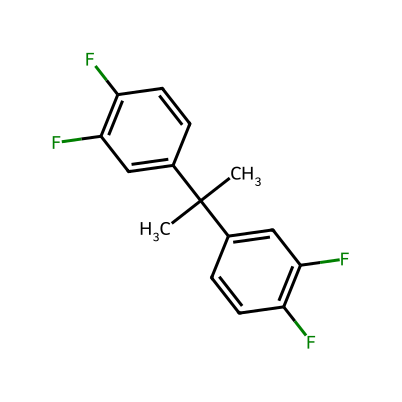 CC(C)(c1ccc(F)c(F)c1)c1ccc(F)c(F)c1